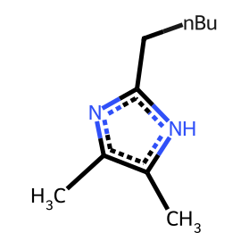 CCCCCc1nc(C)c(C)[nH]1